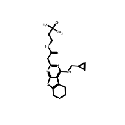 CC(C)(O)CCNC(=O)Cc1nc(NCC2CC2)c2c3c(sc2n1)CCCC3